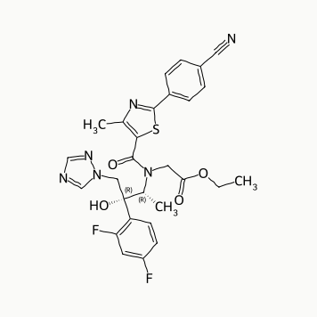 CCOC(=O)CN(C(=O)c1sc(-c2ccc(C#N)cc2)nc1C)[C@H](C)[C@](O)(Cn1cncn1)c1ccc(F)cc1F